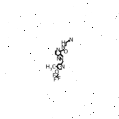 Cc1cc(Cn2cc3c(C(=O)NCCC#N)nccc3n2)ncc1OCC(F)(F)F